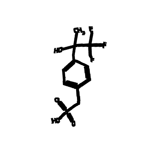 CC(O)(c1ccc(CS(=O)(=O)O)cc1)C(F)(F)F